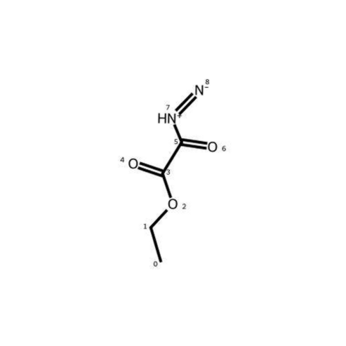 CCOC(=O)C(=O)[NH+]=[N-]